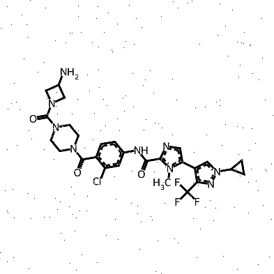 Cn1c(-c2cn(C3CC3)nc2C(F)(F)F)cnc1C(=O)Nc1ccc(C(=O)N2CCN(C(=O)N3CC(N)C3)CC2)c(Cl)c1